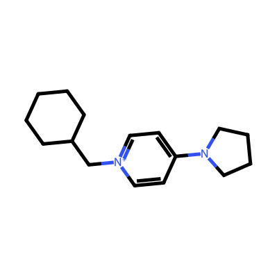 c1c[n+](CC2CCCCC2)ccc1N1CCCC1